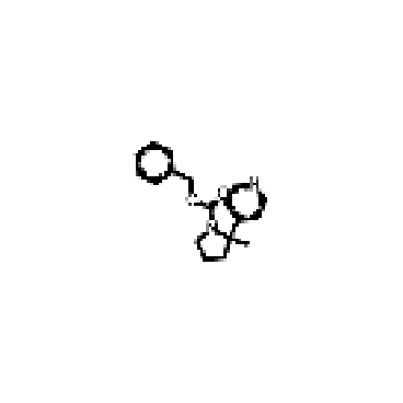 CC1(c2ccncc2)CCCN1C(=O)OCc1ccccc1